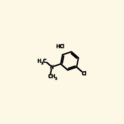 CN(C)c1cccc(Cl)c1.Cl